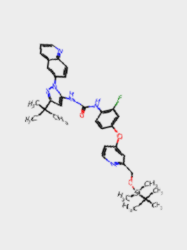 CC(C)(C)c1cc(NC(=O)Nc2ccc(Oc3ccnc(CO[Si](C)(C)C(C)(C)C)c3)cc2F)n(-c2ccc3ncccc3c2)n1